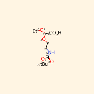 CCOC(OCCNC(=O)OC(C)(C)C)C(=O)O